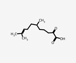 CC(C)=CCCC(C)CCCC(=O)C(=O)O